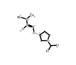 CCC(CC)N1CC[C@@H](O/N=[N+](\[O-])N(C)C(C)(C)C)C1